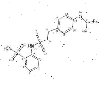 NS(=O)(=O)c1ccccc1NS(=O)(=O)CCc1ccc(OC(F)F)cc1